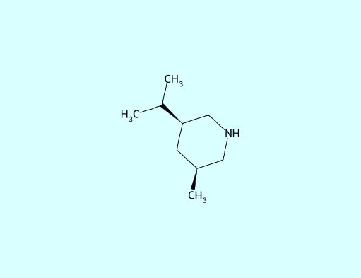 CC(C)[C@H]1CNC[C@@H](C)C1